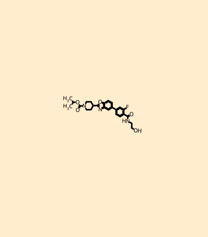 CC(C)OC(=O)N1CCC(c2nc3cc(-c4ccc(C(=O)NCCO)c(F)c4)ccc3o2)CC1